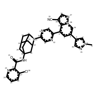 Cn1cc(-c2cc(-c3cnc(N4C5CC6CC4CC(NC(=O)c4ncccc4Cl)(C6)C5)cn3)c3c(C#N)cnn3c2)cn1